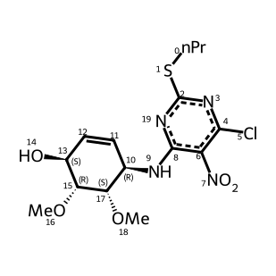 CCCSc1nc(Cl)c([N+](=O)[O-])c(N[C@@H]2C=C[C@H](O)[C@@H](OC)[C@H]2OC)n1